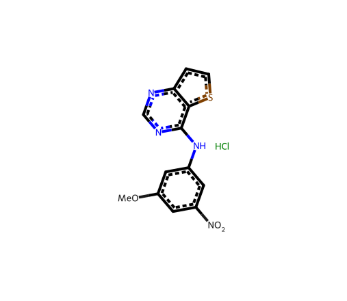 COc1cc(Nc2ncnc3ccsc23)cc([N+](=O)[O-])c1.Cl